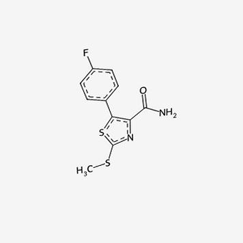 CSc1nc(C(N)=O)c(-c2ccc(F)cc2)s1